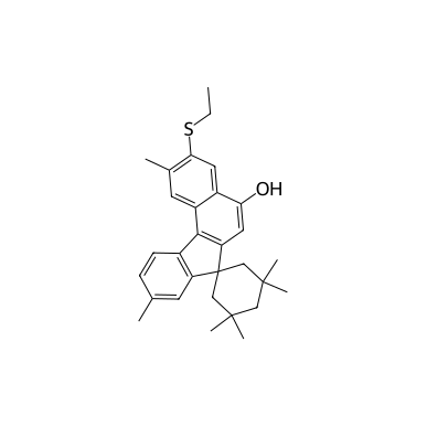 CCSc1cc2c(O)cc3c(c2cc1C)-c1ccc(C)cc1C31CC(C)(C)CC(C)(C)C1